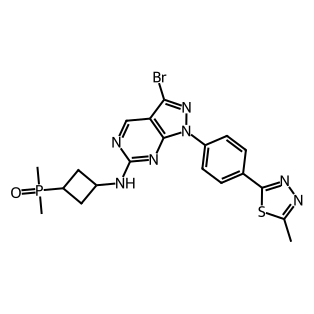 Cc1nnc(-c2ccc(-n3nc(Br)c4cnc(NC5CC(P(C)(C)=O)C5)nc43)cc2)s1